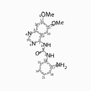 COc1cc2ncnc(NC(=O)Nc3ccccc3N)c2cc1OC